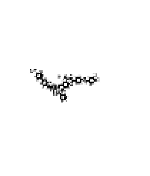 CC[C@@H](c1ccccc1)N1Cc2cc3c(cc2C[C@H]1C(=O)N[C@@](C)(Cc1ccc(-c2ccc(C#N)cc2)cc1)C(C)=O)N(C)C(=O)[C@@H](c1ccc(OCc2ccc(Cl)c(Cl)c2)cc1)O3